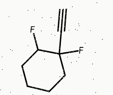 C#CC1(F)CCCCC1F